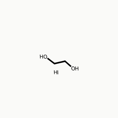 I.OCCO